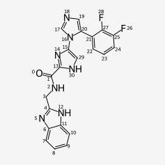 O=C(NCc1nc2ccccc2[nH]1)c1nc(-n2cncc2-c2cccc(F)c2F)c[nH]1